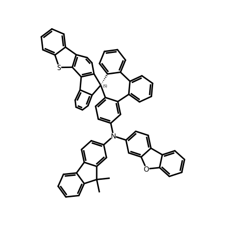 CC1(C)c2ccccc2-c2ccc(N(c3ccc4c(c3)-c3ccccc3-c3ccccc3[C@@]43c4ccccc4-c4c3ccc3c4sc4ccccc43)c3ccc4c(c3)oc3ccccc34)cc21